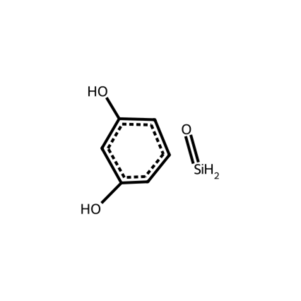 O=[SiH2].Oc1cccc(O)c1